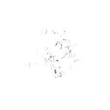 CC/C(C)=N/c1c(/C=C(\C)C(F)(F)F)nc(-c2nc(C(=O)OC)ccc2[S+]([O-])CC)n1C